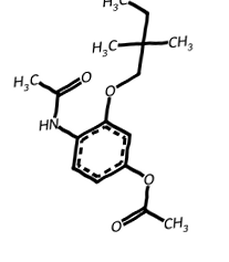 CCC(C)(C)COc1cc(OC(C)=O)ccc1NC(C)=O